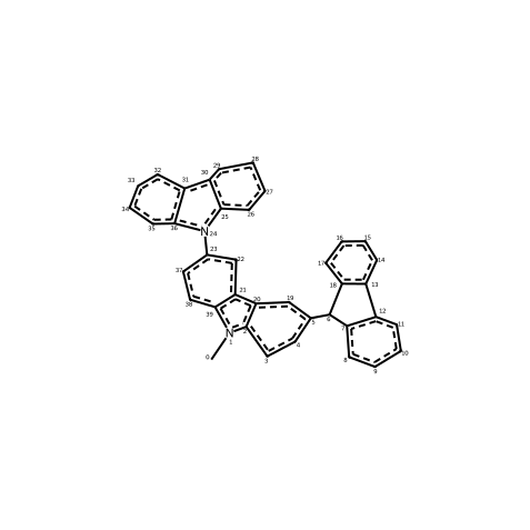 Cn1c2ccc(C3c4ccccc4-c4ccccc43)cc2c2cc(-n3c4ccccc4c4ccccc43)ccc21